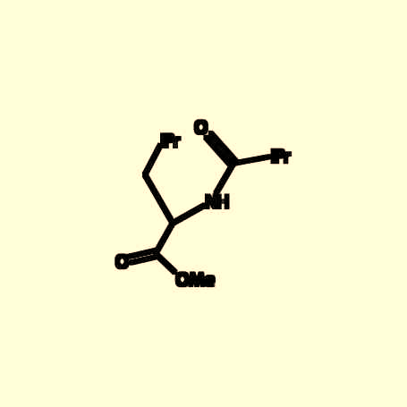 COC(=O)C(CC(C)C)NC(=O)C(C)C